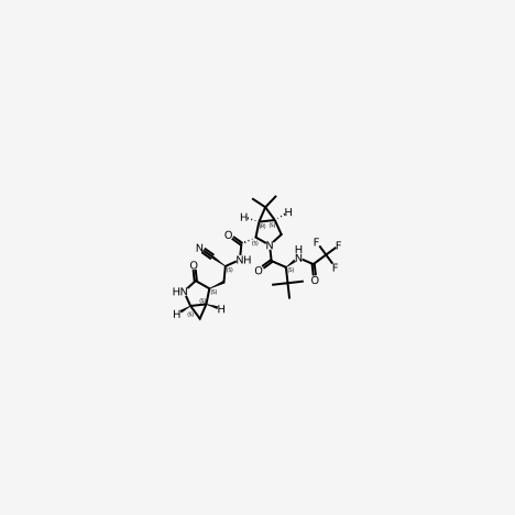 CC(C)(C)[C@H](NC(=O)C(F)(F)F)C(=O)N1C[C@H]2[C@@H]([C@H]1C(=O)N[C@H](C#N)C[C@@H]1C(=O)N[C@H]3C[C@H]31)C2(C)C